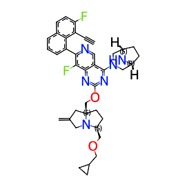 C#Cc1c(F)ccc2cccc(-c3ncc4c(N5C[C@H]6CC[C@@H](C5)N6)nc(OC[C@@]56CC[C@@H](COCC7CC7)N5CC(=C)C6)nc4c3F)c12